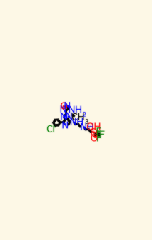 CCn1c(-c2nonc2N)nc2c(-c3cccc(Cl)c3)ncc(NCCCNC[C@H](O)COC(=O)C(F)(F)F)c21